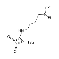 CCCN(CC)CCCCNc1c(C(C)(C)C)c(=O)c1=O